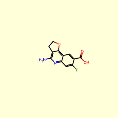 Nc1nc2cc(F)c(C(=O)O)cc2c2c1CCO2